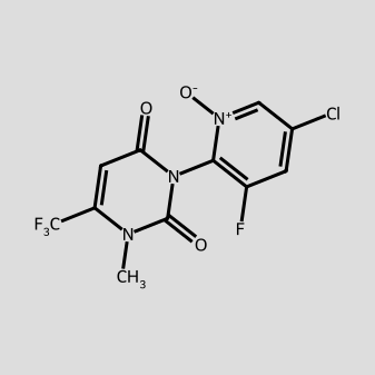 Cn1c(C(F)(F)F)cc(=O)n(-c2c(F)cc(Cl)c[n+]2[O-])c1=O